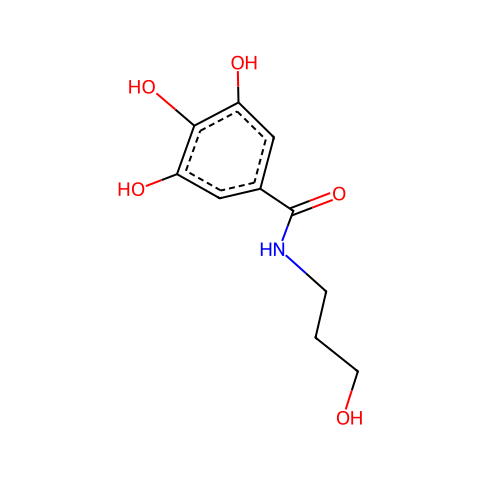 O=C(NCCCO)c1cc(O)c(O)c(O)c1